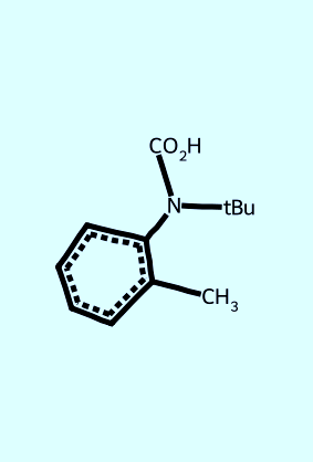 Cc1ccccc1N(C(=O)O)C(C)(C)C